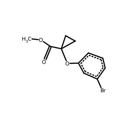 COC(=O)C1(Oc2cccc(Br)c2)CC1